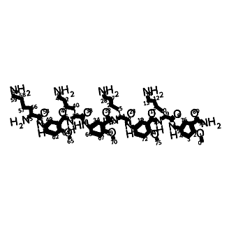 COc1ccc(NC(=O)[C@@H](CCCCN)NC(=O)c2cc(NC(=O)[C@@H](CCCCN)NC(=O)c3cc(NC(=O)[C@@H](CCCCN)NC(=O)c4cc(NC(=O)[C@H](N)CCCCN)ccc4OC)ccc3OC)ccc2OC)cc1C(N)=O